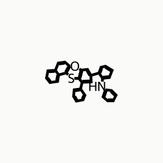 c1ccc(Nc2ccccc2-c2cc3c(c(-c4ccccc4)c2)Sc2c(ccc4ccccc24)O3)cc1